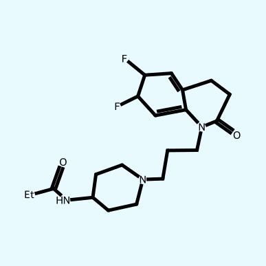 CCC(=O)NC1CCN(CCCN2C(=O)CCC3=CC(F)C(F)C=C32)CC1